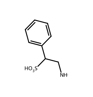 [NH]CC(c1ccccc1)S(=O)(=O)O